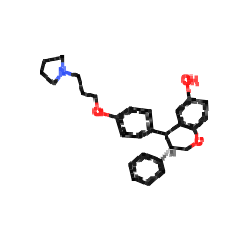 Oc1ccc2c(c1)C(c1ccc(OCCCN3CCCC3)cc1)[C@@H](c1ccccc1)CO2